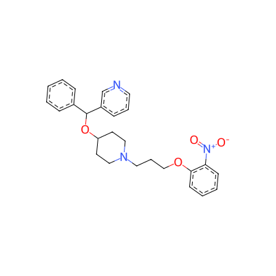 O=[N+]([O-])c1ccccc1OCCCN1CCC(OC(c2ccccc2)c2cccnc2)CC1